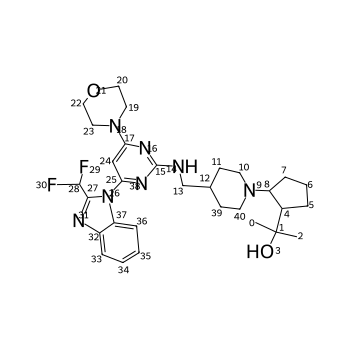 CC(C)(O)C1CCCC1N1CCC(CNc2nc(N3CCOCC3)cc(-n3c(C(F)F)nc4ccccc43)n2)CC1